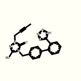 CC#CCn1nc(C(C)CC)n(Cc2ccc(-c3ccccc3-c3nnn[nH]3)cc2)c1=O